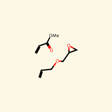 C=CC(=O)OC.C=CCOCC1CO1